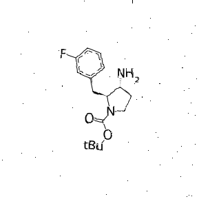 CC(C)(C)OC(=O)N1CC[C@@H](N)[C@@H]1Cc1cccc(F)c1